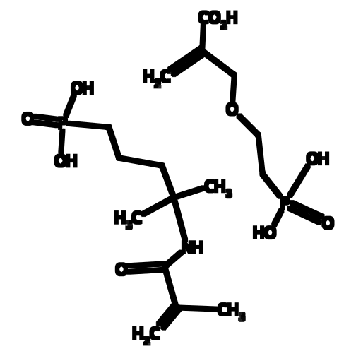 C=C(C)C(=O)NC(C)(C)CCCP(=O)(O)O.C=C(COCCP(=O)(O)O)C(=O)O